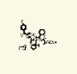 CN[C@@H](C)C(=O)N[C@H](C(=O)N1C[C@H]2CCCN2C[C@H]1c1nc(C(=O)c2ccc(F)cc2)cs1)C1CCCCC1.Cl.Cl